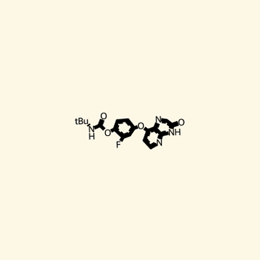 CC(C)(C)NC(=O)Oc1ccc(Oc2ccnc3[nH]c(=O)cnc23)cc1F